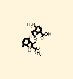 Cc1ccc(N)c2c(C)c(C(N)=O)[nH]c12.Nc1ccc(C(=O)O)c2[nH]ccc12